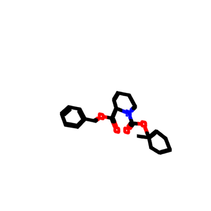 CC1(OC(=O)N2CCCCC2C(=O)OCc2ccccc2)CCCCC1